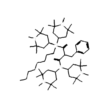 CCCCCCCC[N+](C(=O)C(Cc1ccccc1)C(=O)N(C1CC(C)(C)N(C)C(C)(C)C1)C1CC(C)(C)N(C)C(C)(C)C1)(C1CC(C)(C)N(C)C(C)(C)C1)C1CC(C)(C)N(C)C(C)(C)C1